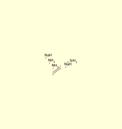 C=C.N.N.[NaH].[NaH].[SrH2]